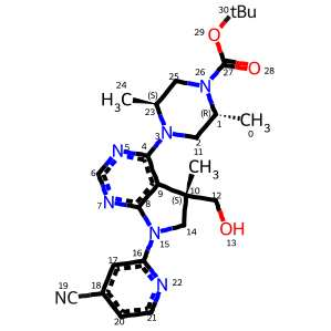 C[C@@H]1CN(c2ncnc3c2[C@](C)(CO)CN3c2cc(C#N)ccn2)[C@@H](C)CN1C(=O)OC(C)(C)C